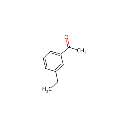 [CH2]Cc1cccc(C(C)=O)c1